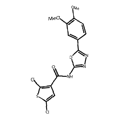 COc1ccc(-c2nnc(NC(=O)c3cc(Cl)sc3Cl)o2)cc1OC